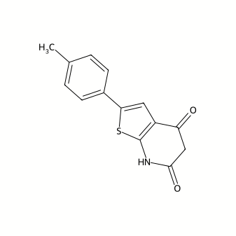 Cc1ccc(-c2cc3c(s2)NC(=O)CC3=O)cc1